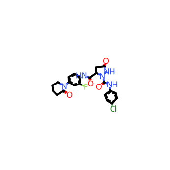 O=C1CC(C(=O)Nc2ccc(N3CCCCC3=O)cc2F)N(C(=O)Nc2ccc(Cl)cc2)N1